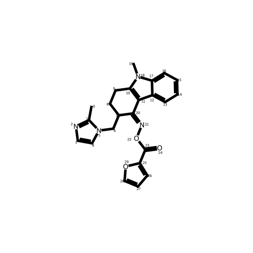 Cc1nccn1CC1CCc2c(c3ccccc3n2C)/C1=N/OC(=O)c1ccco1